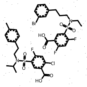 CCN(CCCc1cccc(Br)c1)S(=O)(=O)c1cc(C(=O)O)c(F)cc1F.Cc1ccc(CCN(C(C)C)S(=O)(=O)c2cc(C(=O)O)c(Cl)cc2F)cc1